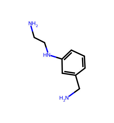 NCCNc1cccc(CN)c1